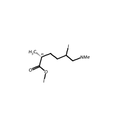 CNCC(I)CC[C@@H](C)C(=O)OI